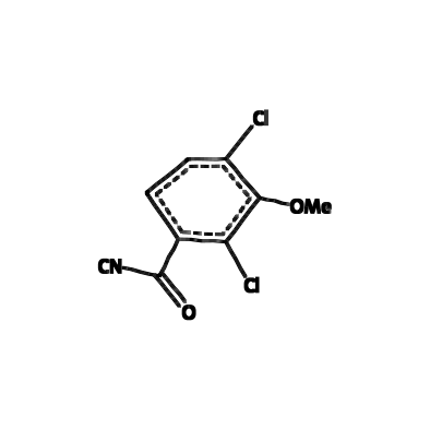 [C-]#[N+]C(=O)c1ccc(Cl)c(OC)c1Cl